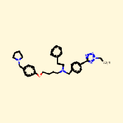 O=C(O)Cn1nnc(-c2ccc(CN(CCCCOc3ccc(CN4CCCC4)cc3)CCc3ccccc3)cc2)n1